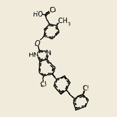 Cc1ccc(Oc2nc3cc(-c4ccc(-c5ccccc5Cl)cc4)c(Cl)cc3[nH]2)cc1C(=O)O